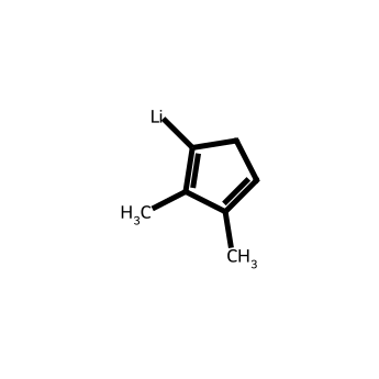 [Li][C]1=C(C)C(C)=CC1